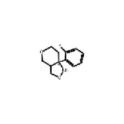 Fc1ccccc1[C@]12CCOCC1CON2